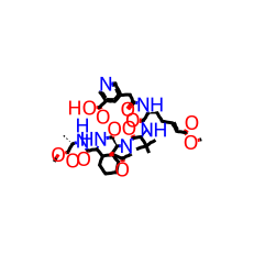 COC(=O)/C=C/CC[C@H](NC(=O)Cc1cncc(C(=O)O)c1)C(=O)N[C@H](C(=O)N1CC(=O)C[C@H]1C(=O)N[C@H](C(=O)N[C@@H](C)C(=O)OC)C1CCCCC1)C(C)(C)C